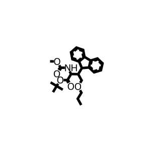 CCCOCC(C(NC(=O)OC)C(=O)OC(C)(C)C)C1c2ccccc2-c2ccccc21